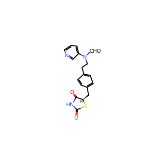 O=CN(CCc1ccc(C[C@H]2SC(=O)NC2=O)cc1)c1cccnc1